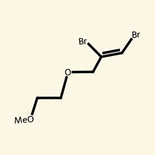 COCCOCC(Br)=CBr